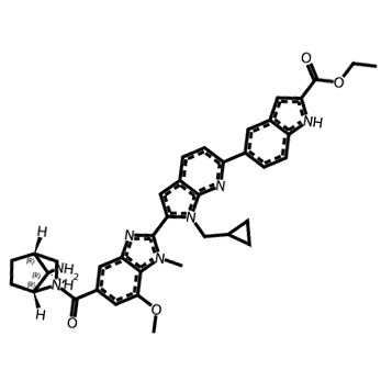 CCOC(=O)c1cc2cc(-c3ccc4cc(-c5nc6cc(C(=O)N7C[C@H]8CC[C@@H]7[C@@H]8N)cc(OC)c6n5C)n(CC5CC5)c4n3)ccc2[nH]1